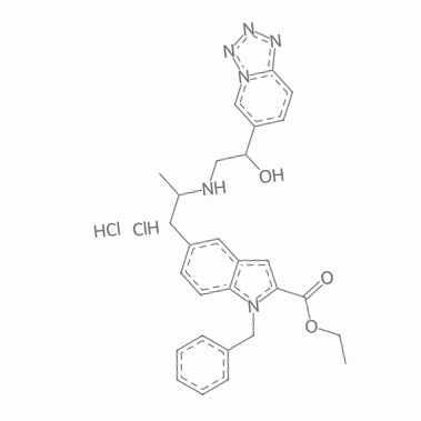 CCOC(=O)c1cc2cc(CC(C)NCC(O)c3ccc4nnnn4c3)ccc2n1Cc1ccccc1.Cl.Cl